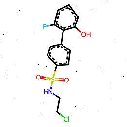 O=S(=O)(NCCCl)c1ccc(-c2c(O)cccc2F)cc1